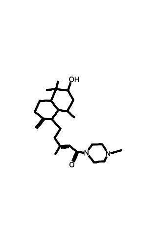 C=C1CCC2C(C(C)CC(O)C2(C)C)C1CCC(C)=CC(=O)N1CCN(C)CC1